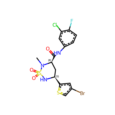 CN1[C@@H](C(=O)Nc2ccc(F)c(Cl)c2)C[C@@H](c2cc(Br)cs2)NS1(=O)=O